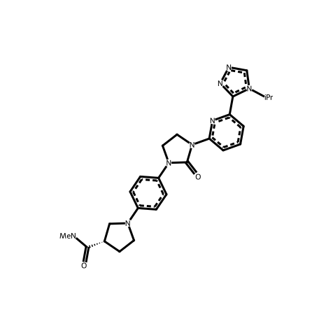 CNC(=O)[C@H]1CCN(c2ccc(N3CCN(c4cccc(-c5nncn5C(C)C)n4)C3=O)cc2)C1